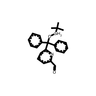 CC(C)(C)[SiH2]OC(c1ccccc1)(c1ccccc1)c1cccc(C=O)n1